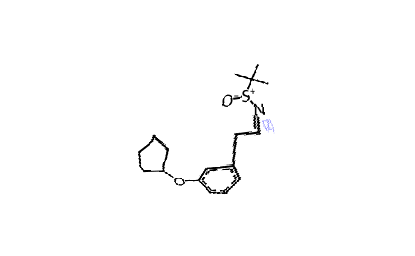 CC(C)(C)[S+]([O-])/N=C\Cc1cccc(OC2CCCC2)c1